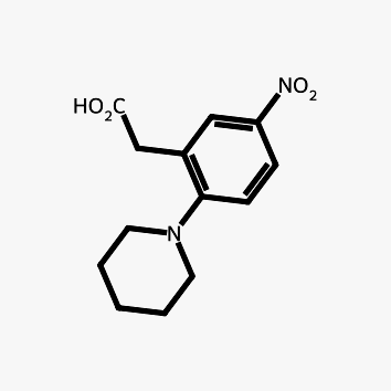 O=C(O)Cc1cc([N+](=O)[O-])ccc1N1CCCCC1